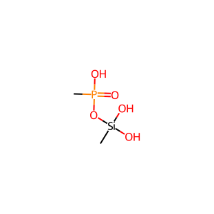 C[Si](O)(O)OP(C)(=O)O